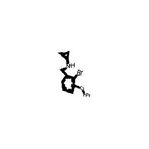 CCCOc1cccc(CNC2CC2)c1Br